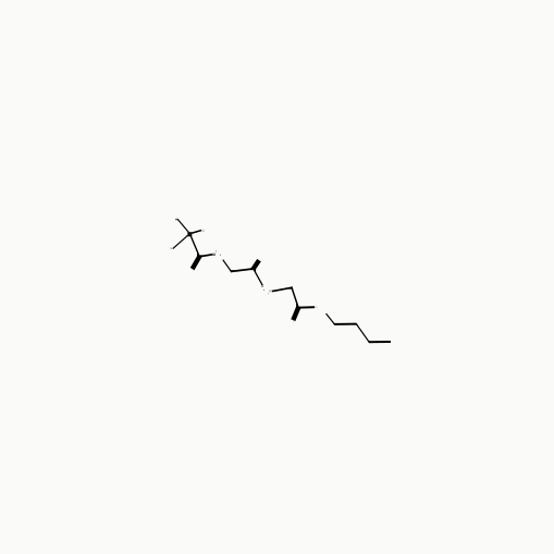 CCCCOC(=O)CNC(=O)CNC(=O)C(Cl)(Cl)Cl